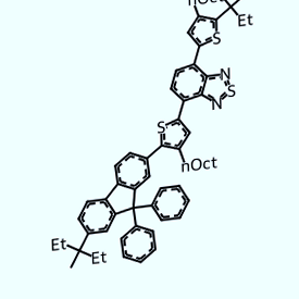 CCCCCCCCc1cc(-c2ccc(-c3cc(CCCCCCCC)c(C(C)(C)CC)s3)c3nsnc23)sc1-c1ccc2c(c1)C(c1ccccc1)(c1ccccc1)c1cc(C(C)(CC)CC)ccc1-2